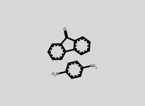 O=C1c2ccccc2-c2ccccc21.O=[N+]([O-])c1ccc([N+](=O)[O-])cc1